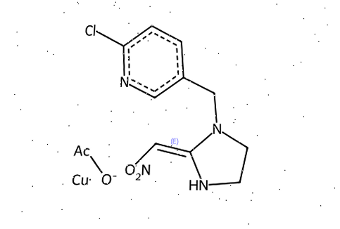 CC(=O)[O-].O=[N+]([O-])/C=C1\NCCN1Cc1ccc(Cl)nc1.[Cu]